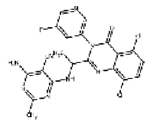 Cc1nc(N)c(C#N)c(NC(C)c2nc3c(Cl)ccc(Cl)c3c(=O)n2-c2cncc(F)c2)n1